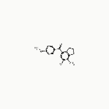 COc1ccc(C(=O)c2cc(Br)c(C)c3c2CCC3)cc1